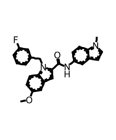 COc1ccc2c(c1)cc(C(=O)Nc1ccc3c(ccn3C)c1)n2Cc1cccc(F)c1